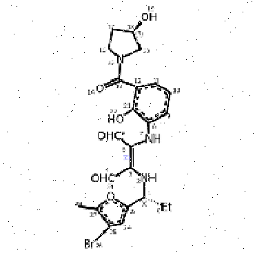 CC[C@@H](N/C(C=O)=C(/C=O)Nc1cccc(C(=O)N2CC[C@@H](O)C2)c1O)c1cc(Br)c(C)o1